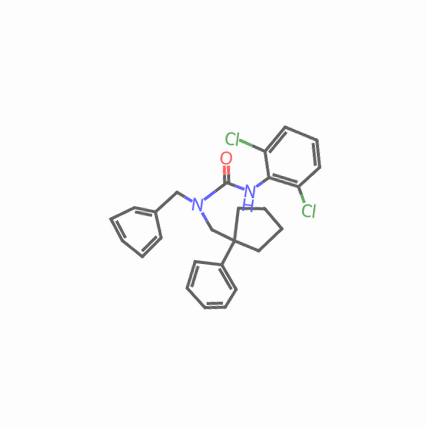 O=C(Nc1c(Cl)cccc1Cl)N(Cc1ccccc1)CC1(c2ccccc2)CCCC1